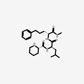 CNC(=O)[C@@H](CCCc1ccccc1)NC(=O)[C@@H](CC(C)C)NC(=O)[C@@H]1CCCCN1